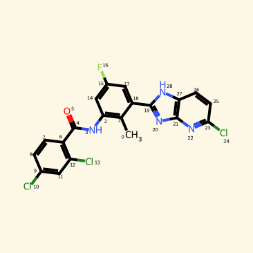 Cc1c(NC(=O)c2ccc(Cl)cc2Cl)cc(F)cc1-c1nc2nc(Cl)ccc2[nH]1